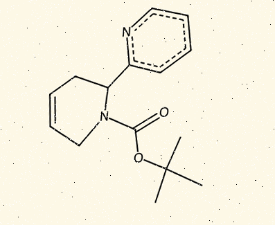 CC(C)(C)OC(=O)N1CC=CCC1c1ccccn1